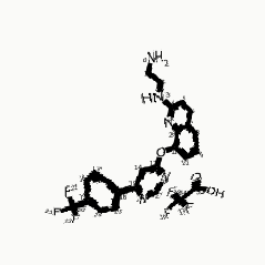 NCCNc1ccc2cccc(Oc3cc(-c4ccc(C(F)(F)F)cc4)ncn3)c2n1.O=C(O)C(F)(F)F